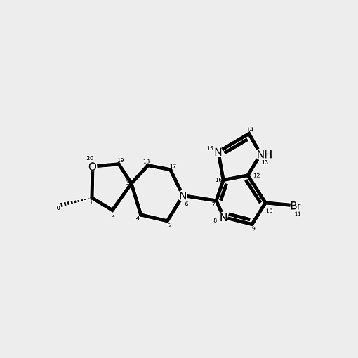 C[C@H]1CC2(CCN(c3ncc(Br)c4[nH]cnc34)CC2)CO1